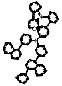 c1ccc(-c2ccc(-c3cccc(N(c4ccc(-c5ccccc5-n5c6ccccc6c6ccccc65)cc4)c4cccc(-c5cccc6ccccc56)c4)c3)c3ccccc23)cc1